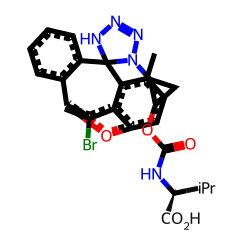 Cc1ccc2oc3c(Br)c2c1C1(NN=NN1C1CC1OC(=O)N[C@H](C(=O)O)C(C)C)c1ccccc1-3